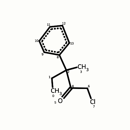 CCC(C)(C(=O)CCl)c1ccccc1